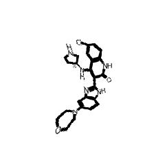 O=c1[nH]c2ccc(Cl)cc2c(N[C@H]2CCNC2)c1-c1nc2cc(N3CCOCC3)ccc2[nH]1